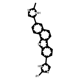 Cc1ncc(-c2ccc3c(ccc4c5ccc(-c6cnc(C(C)C)[nH]6)cc5sc34)c2)[nH]1